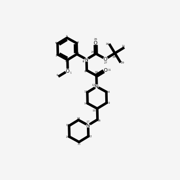 COc1ccccc1N(CC(=O)N1CCC(CN2CCCCC2)CC1)C(=O)OC(C)(C)C